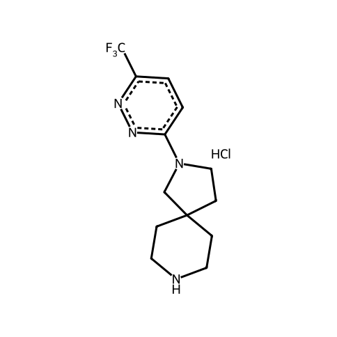 Cl.FC(F)(F)c1ccc(N2CCC3(CCNCC3)C2)nn1